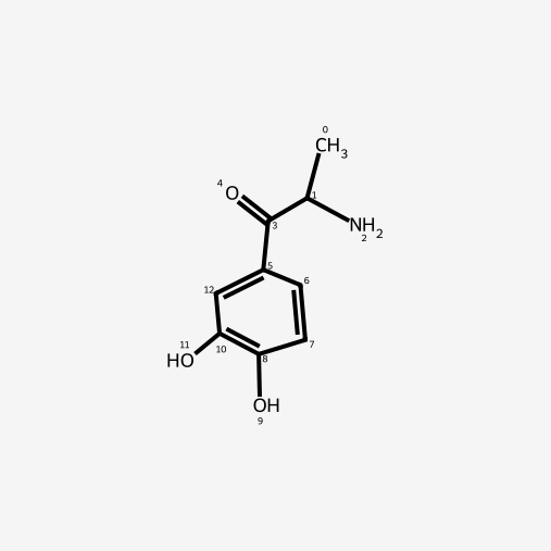 CC(N)C(=O)c1ccc(O)c(O)c1